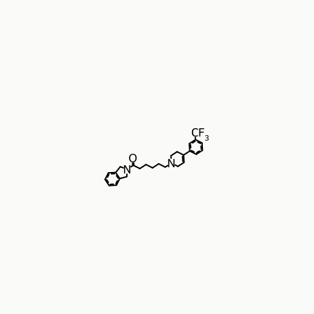 O=C(CCCCCN1CC=C(c2cccc(C(F)(F)F)c2)CC1)N1Cc2ccccc2C1